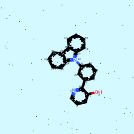 Oc1cccnc1-c1cccc(-n2c3ccccc3c3ccccc32)c1